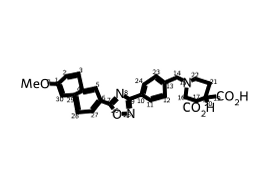 COc1ccc2cc(-c3nc(-c4ccc(CN5CCC(C(=O)O)(C(=O)O)CC5)cc4)no3)ccc2c1